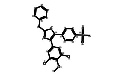 COc1c(Cl)cc(-c2nc(Cc3ccccc3)oc2-c2ccc(S(C)(=O)=O)cc2)cc1Cl